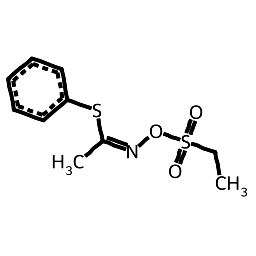 CCS(=O)(=O)O/N=C(/C)Sc1ccccc1